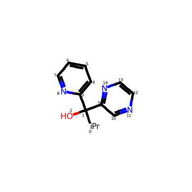 CC(C)C(O)(c1ccccn1)c1cnccn1